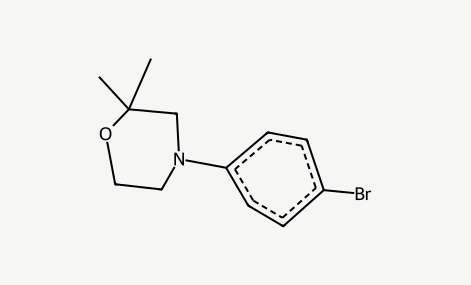 CC1(C)CN(c2ccc(Br)cc2)CCO1